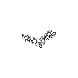 CC(C)(F)Cc1nc(-c2ccc(C(=O)N3CCN(c4nc5nc(Cl)ccc5o4)CC3)cc2)no1